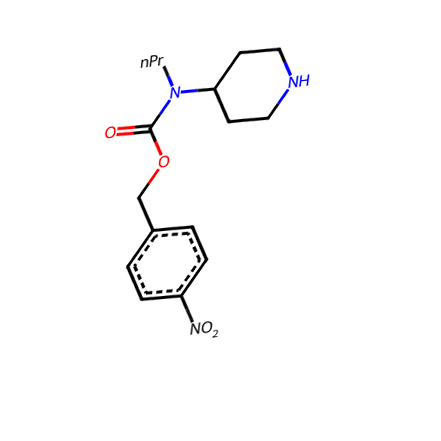 CCCN(C(=O)OCc1ccc([N+](=O)[O-])cc1)C1CCNCC1